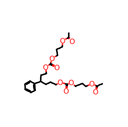 CC(=O)OCCCOC(=O)OCCCC(CCOC(=O)OCCCOC(C)=O)c1ccccc1